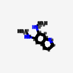 O=S(=O)(O)Nc1cc2cccnc2cc1NS(=O)(=O)O